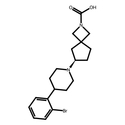 O=C(O)N1CC2(CC[C@@H](N3CCC(c4ccccc4Br)CC3)C2)C1